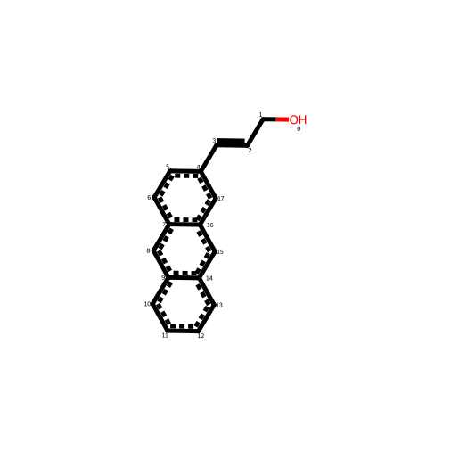 OCC=Cc1ccc2cc3ccccc3cc2c1